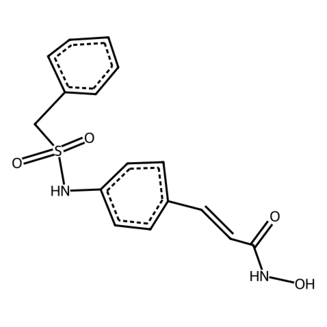 O=C(/C=C/c1ccc(NS(=O)(=O)Cc2ccccc2)cc1)NO